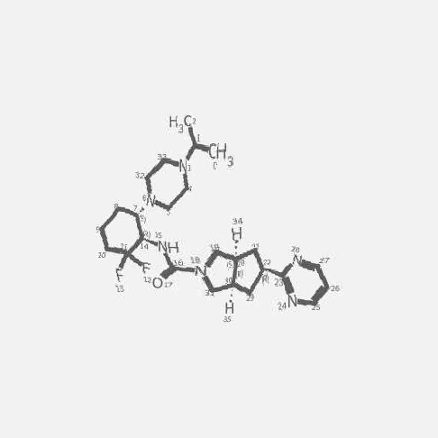 CC(C)N1CCN([C@H]2CCCC(F)(F)[C@@H]2NC(=O)N2C[C@H]3C[C@@H](c4ncccn4)C[C@H]3C2)CC1